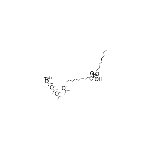 CC(C)[O-].CC(C)[O-].CC(C)[O-].CC(C)[O-].CCCCCCCCOP(=O)(O)OCCCCCCCC.[Ti+4]